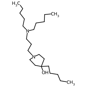 CCCCCN(CCCCC)CCCN1CCC(O)(CCCCC)CC1